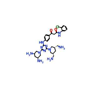 NC[C@@H]1C[C@H](CN)CN(c2nc(Nc3ccc(C(=O)CC(=O)Nc4ccccc4Cl)cc3)nc(N3C[C@H](N)C[C@H](N)C3)n2)C1